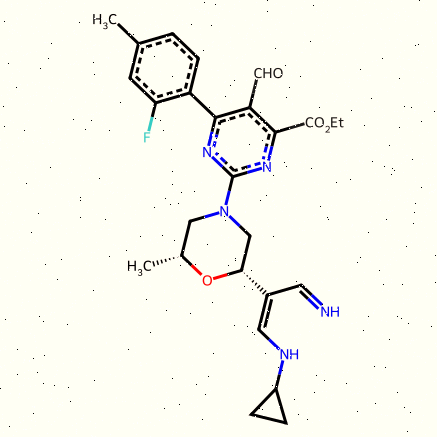 CCOC(=O)c1nc(N2C[C@@H](C)O[C@@H](/C(C=N)=C/NC3CC3)C2)nc(-c2ccc(C)cc2F)c1C=O